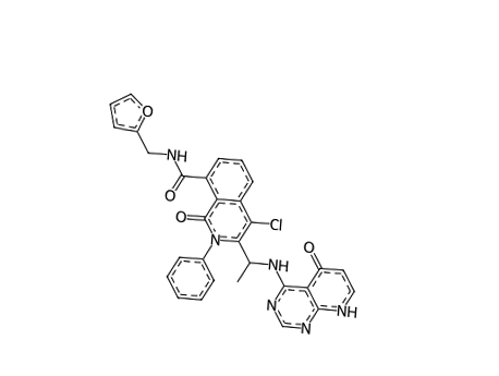 CC(Nc1ncnc2[nH]ccc(=O)c12)c1c(Cl)c2cccc(C(=O)NCc3ccco3)c2c(=O)n1-c1ccccc1